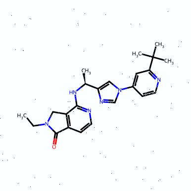 CCN1Cc2c(ccnc2N[C@@H](C)c2cn(-c3ccnc(C(C)(C)C)c3)cn2)C1=O